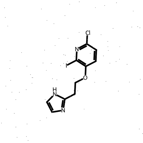 Clc1ccc(OCCc2ncc[nH]2)c(I)n1